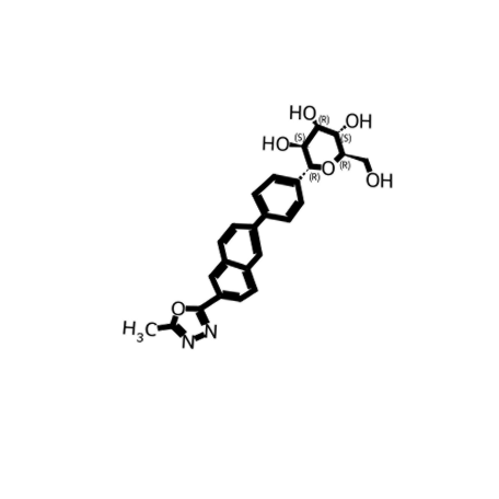 Cc1nnc(-c2ccc3cc(-c4ccc([C@H]5O[C@H](CO)[C@@H](O)[C@H](O)[C@@H]5O)cc4)ccc3c2)o1